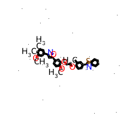 COc1ccc(-c2cc(-c3cc(C)c(C)c(OC)c3)no2)cc1OCCOc1ccc(-c2nc3ccccc3s2)cc1C